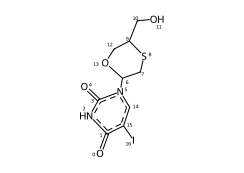 O=c1[nH]c(=O)n(C2CSC(CO)CO2)cc1I